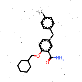 Cc1ccc(Cc2ccc(OCC3CCCCC3)c(C(N)=O)c2)cc1